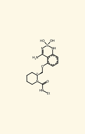 CCNC(=O)N1CCCC[C@H]1COc1cccc2c1C(N)=NS(O)(O)N2